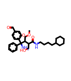 COC(=O)C(C(CO)C(=O)NCCCCC1CCCCC1)C(N)(c1ccccc1)c1ccc(C=O)cc1